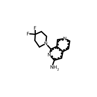 Nc1cc2ccncc2c(N2CCC(F)(F)CC2)n1